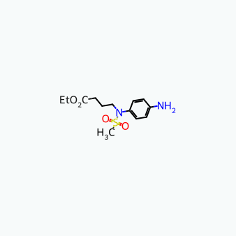 CCOC(=O)CCCN(c1ccc(N)cc1)S(C)(=O)=O